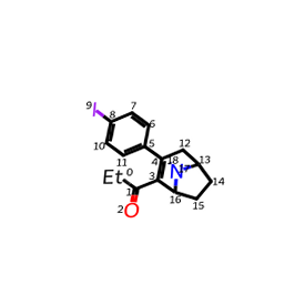 CCC(=O)C1=C(c2ccc(I)cc2)CC2CCC1N2C